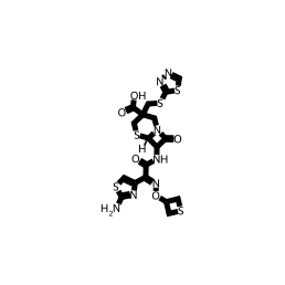 Nc1nc(C(=NOC2CSC2)C(=O)NC2C(=O)N3CC(CSc4nncs4)(C(=O)O)CS[C@H]23)cs1